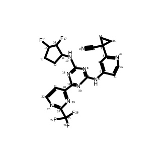 N#CC1(c2cc(Nc3nc(NC4CCC(F)C4F)nc(-c4ccnc(C(F)(F)F)n4)n3)ccn2)CC1